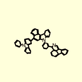 c1ccc(-n2c3ccccc3c3cc(-c4cc5c(c6ccccc46)c4ccccc4n5-c4cccc(-c5ncc6c7c(cccc57)-c5ccccc5-6)c4)ccc32)cc1